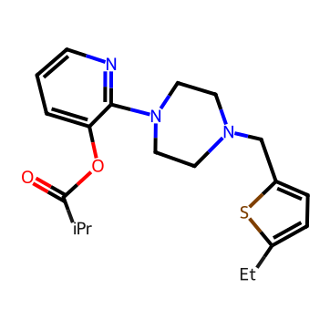 CCc1ccc(CN2CCN(c3ncccc3OC(=O)C(C)C)CC2)s1